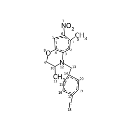 Cc1cc2c(cc1[N+](=O)[O-])OCC(C)N2Cc1ccc(F)cc1